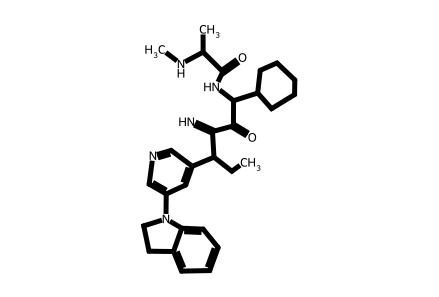 CCC(C(=N)C(=O)C(NC(=O)C(C)NC)C1CCCCC1)c1cncc(N2CCc3ccccc32)c1